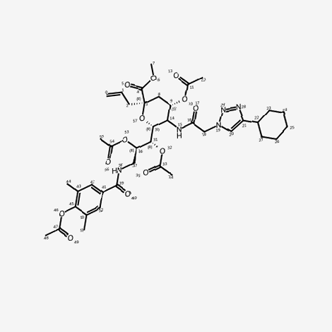 C=CC[C@]1(C(=O)OC)C[C@H](OC(C)=O)C(NC(=O)Cn2cc(C3CCCCC3)nn2)[C@H]([C@H](OC(C)=O)[C@@H](CNC(=O)c2cc(C)c(OC(C)=O)c(C)c2)OC(C)=O)O1